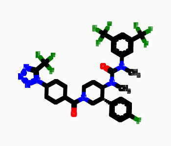 CN(C(=O)N(C)[C@@H]1CCN(C(=O)C2CCC(n3nnnc3C(F)(F)F)CC2)C[C@H]1c1ccc(F)cc1)c1cc(C(F)(F)F)cc(C(F)(F)F)c1